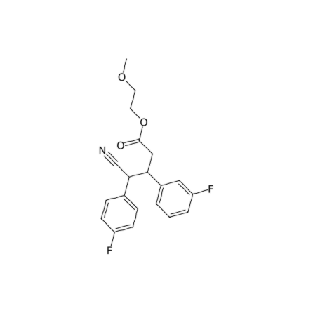 COCCOC(=O)CC(c1cccc(F)c1)C(C#N)c1ccc(F)cc1